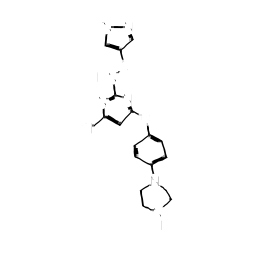 Cn1cc(SNc2nc(Cl)cc(Oc3ccc(N4CCNCC4)cc3)n2)cn1